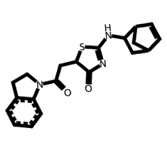 O=C1N=C(NC2CC3C=CC2C3)SC1CC(=O)N1CCc2ccccc21